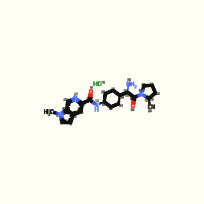 Cl.Cn1ccc2cc(C(=O)N[C@H]3CC[C@H]([C@H](N)C(=O)N4CCC[C@H]4C#N)CC3)ncc21